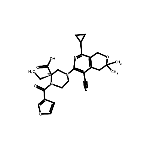 CC[C@@]1(C(=O)O)CN(c2nc(C3CC3)c3c(c2C#N)CC(C)(C)OC3)CCN1C(=O)c1ccoc1